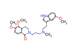 COc1ccc2[nH]cc(CCN(C)CCCN3CCc4c(ccc(OC)c4OC)C3=O)c2c1